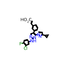 O=C(O)/C=C/c1cccc(-c2cnc(Nc3ccc(F)c(Cl)c3)nc2-n2ccc(C3CC3)n2)c1